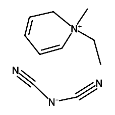 CC[N+]1(C)C=CC=CC1.N#C[N-]C#N